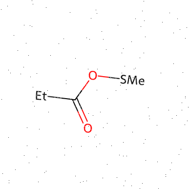 CCC(=O)OSC